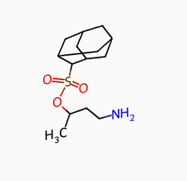 CC(CCN)OS(=O)(=O)C1C2CC3CC(C2)CC1C3